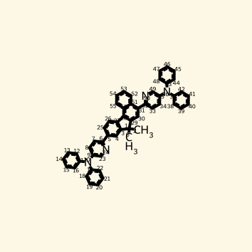 CC1(C)c2cc(-c3ccc(N(c4ccccc4)c4ccccc4)cn3)ccc2-c2c1cc(-c1ccc(N(c3ccccc3)c3ccccc3)cn1)c1ccccc21